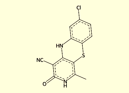 Cc1[nH]c(=O)c(C#N)c2c1Sc1ccc(Cl)cc1N2